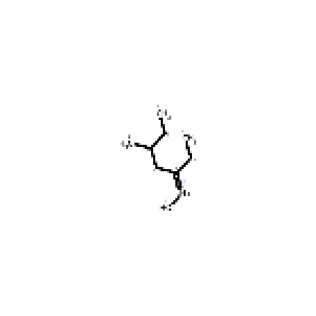 CC/C(CC(C)CC)=N/O